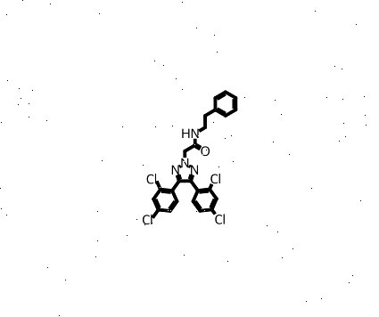 O=C(Cn1nc(-c2ccc(Cl)cc2Cl)c(-c2ccc(Cl)cc2Cl)n1)NCCc1ccccc1